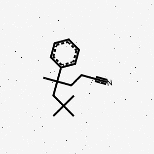 CC(C)(C)CC(C)(CCC#N)c1ccccc1